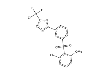 COc1cccc(Cl)c1S(=O)(=O)c1[c]ccc(-c2noc(C(F)(F)Cl)n2)c1